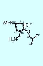 CNc1ccc(OCC(F)F)c(CN)c1.Cl